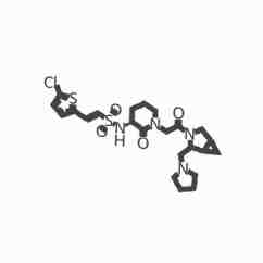 O=C1[C@@H](NS(=O)(=O)/C=C/c2ccc(Cl)s2)CCCN1CC(=O)N1CC2CC2C1CN1CCCC1